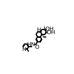 CC[C@@]12C[C@H](O)[C@@](C)(O)C[C@H]1CCc1cc(C(=O)NCc3cccnc3C)ccc12